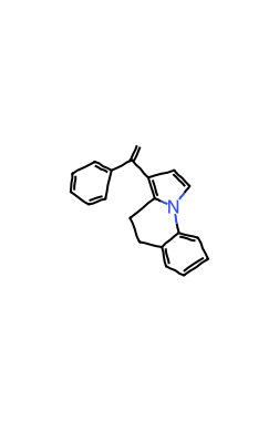 C=C(c1ccccc1)c1ccn2c1CCc1ccccc1-2